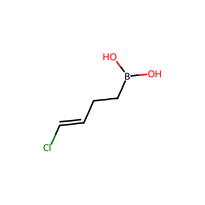 OB(O)CCC=CCl